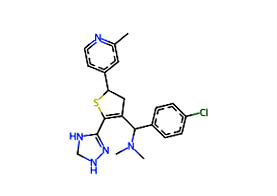 Cc1cc(C2CC(C(c3ccc(Cl)cc3)N(C)C)=C(C3=NNCN3)S2)ccn1